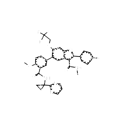 CNC(=O)c1c(-c2ccc(F)cc2)oc2cc(OCC(F)(F)F)c(-c3ccc(OC)c(C(=O)NC4(c5ncccn5)CC4)c3)cc12